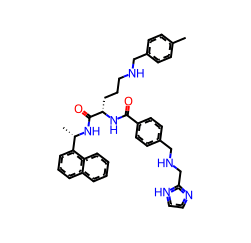 Cc1ccc(CNCCC[C@H](NC(=O)c2ccc(CNCc3ncc[nH]3)cc2)C(=O)N[C@@H](C)c2cccc3ccccc23)cc1